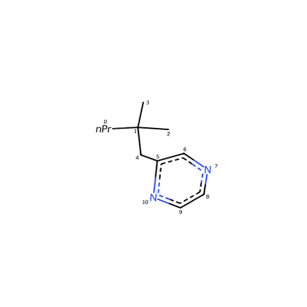 CCCC(C)(C)Cc1cnccn1